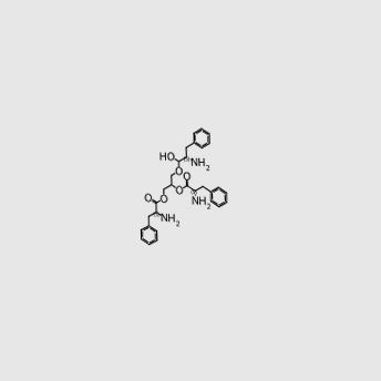 N[C@@H](Cc1ccccc1)C(=O)OCC(COC(O)[C@@H](N)Cc1ccccc1)OC(=O)[C@@H](N)Cc1ccccc1